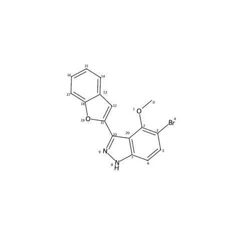 COc1c(Br)ccc2[nH]nc(-c3cc4ccccc4o3)c12